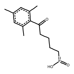 Cc1cc(C)c(C(=O)CCCC[PH](=O)O)c(C)c1